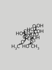 CC(O)COC(C)CO.CCCOCC(C)OCC(C)O.O=C(O)C(O)C(O)C(=O)O